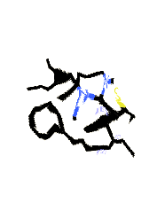 C=C(C(/C=C\CCc1ccccc1)=C/C)/C(C(C)=S)=C1/N(C)CCC(C)(C(CCC)CCC)N1C